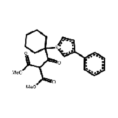 COC(=O)C(C(=O)OC)C(=O)C1(n2ccc(-c3ccccc3)c2)CCCCC1